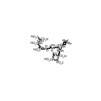 CC(C)(C)[Si](F)(c1ccc(C(=O)NCC[C@H](NC(=O)CC[C@@H](C(=O)O)N2CCN(CC(=O)O)CCN(CC(=O)O)CCN(CC(=O)O)CC2)C(=O)N[C@@H](CCCCNC(=O)CCC(=O)NCCC[C@H](NC(=O)CC[C@H](NC(=O)N[C@@H](CCC(=O)O)C(=O)O)C(=O)O)C(=O)O)C(=O)O)cc1)C(C)(C)C